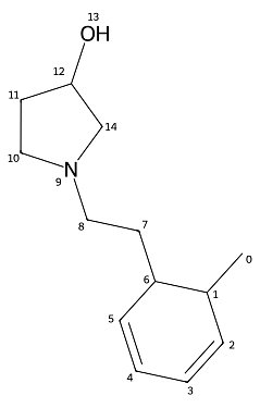 CC1C=CC=CC1CCN1CCC(O)C1